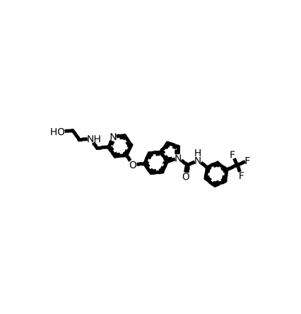 O=C(Nc1cccc(C(F)(F)F)c1)n1ccc2cc(Oc3ccnc(CNCCO)c3)ccc21